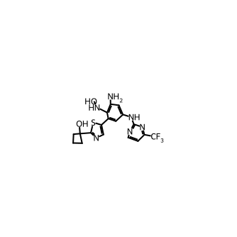 Nc1cc(Nc2nccc(C(F)(F)F)n2)cc(-c2cnc(C3(O)CCC3)s2)c1NO